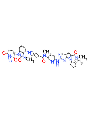 CN(C)C(=O)c1cc2cnc(Nc3ccc(N(C)C(=O)C4CC5(C4)CN(c4cccc6c4n(C)c(=O)n6[C@@H]4CCC(=O)NC4=O)C5)cn3)nc2n1C1CCCC1